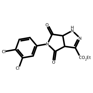 CCOC(=O)C1=NNC2C(=O)N(c3ccc(Cl)c(Cl)c3)C(=O)C12